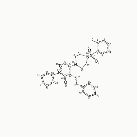 Cc1ccccc1S(=O)(=O)N1CCN(c2cnn(-c3ccccc3)c(=O)c2SCc2ccccc2)CC1